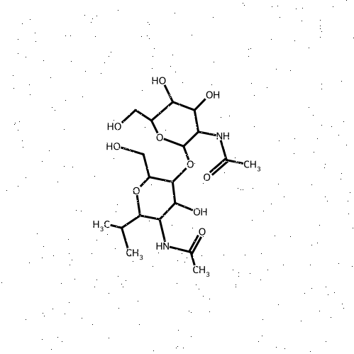 CC(=O)NC1C(OC2C(CO)OC(C(C)C)C(NC(C)=O)C2O)OC(CO)C(O)C1O